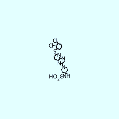 CC1(NC(=O)O)CCN(c2cnc3nc(Sc4cccc(Cl)c4Cl)ccc3n2)CC1